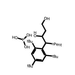 CCCCCC(c1c(C(C)(C)C)cc(C(C)(C)C)cc1C(C)(C)C)C(O)CCO.OP(O)O